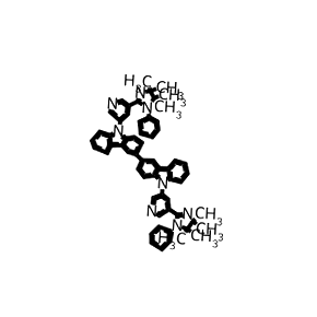 CC1(C)N=C(c2cncc(-n3c4ccccc4c4cc(-c5ccc6c(c5)c5ccccc5n6-c5cncc(C6=NC(C)(C)C(C)(C)N6c6ccccc6)c5)ccc43)c2)N(c2ccccc2)C1(C)C